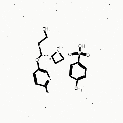 CCCC(Oc1ccc(F)nc1)[C@H]1CCN1.Cc1ccc(S(=O)(=O)O)cc1